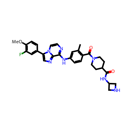 COc1ccc(-c2cnc3c(Nc4ccc(C(=O)N5CCC(C(=O)NC6CNC6)CC5)c(C)c4)nccn23)cc1F